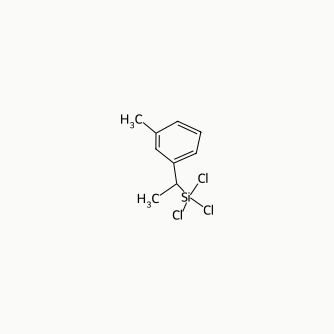 Cc1cccc(C(C)[Si](Cl)(Cl)Cl)c1